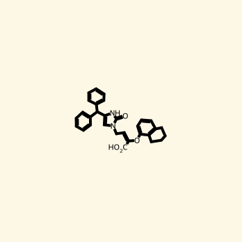 O=C(O)C(=CCn1cc(C(c2ccccc2)c2ccccc2)[nH]c1=O)Oc1cccc2c1CCCC2